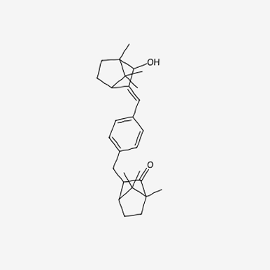 CC12CCC(C(Cc3ccc(/C=C4\C5CCC(C)(C4O)C5(C)C)cc3)C1=O)C2(C)C